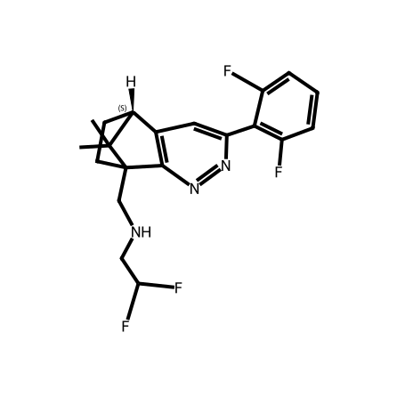 CC1(C)[C@@H]2CCC1(CNCC(F)F)c1nnc(-c3c(F)cccc3F)cc12